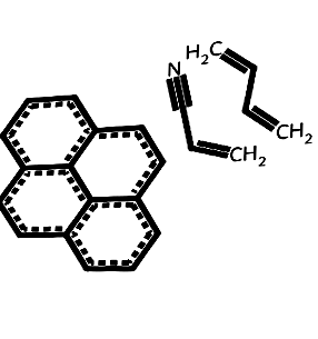 C=CC#N.C=CC=C.c1cc2ccc3cccc4ccc(c1)c2c34